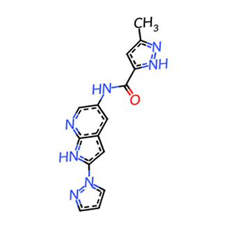 Cc1cc(C(=O)Nc2cnc3[nH]c(-n4cccn4)cc3c2)[nH]n1